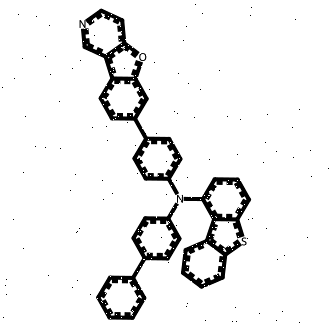 c1ccc(-c2ccc(N(c3ccc(-c4ccc5c(c4)oc4ccncc45)cc3)c3cccc4sc5ccccc5c34)cc2)cc1